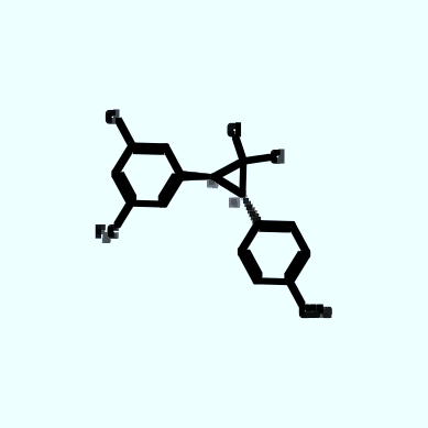 COc1ccc([C@@H]2[C@@H](c3cc(Cl)cc(C(F)(F)F)c3)C2(Cl)Cl)cc1